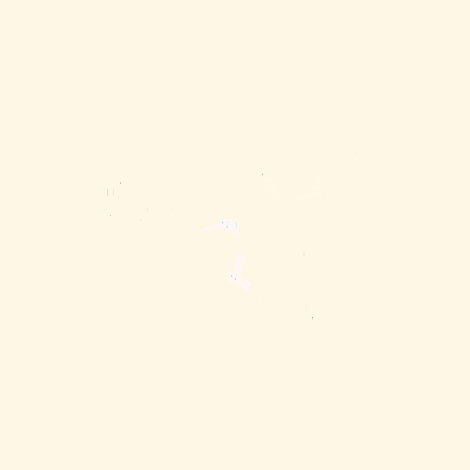 CCOC(=O)c1cc(Br)cnc1NCCC(C)(C)C